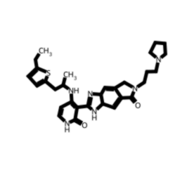 CCc1ccc(CC(C)Nc2cc[nH]c(=O)c2C2=NC3C=C4CN(CCCN5CCCC5)C(=O)C4=CC3N2)s1